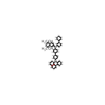 CC1(C)CCC(C)(C)c2cc(N(c3ccc(-c4ccc(N(c5ccccc5)c5ccccc5-c5ccccc5)cc4)cc3)c3cccc(-c4ccccc4)c3)ccc21